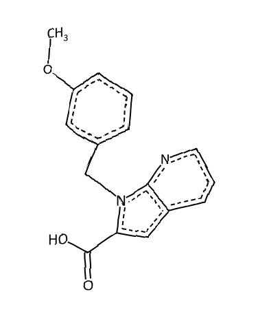 COc1cccc(Cn2c(C(=O)O)cc3cccnc32)c1